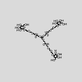 CC(COCCC(=O)NCCOCCOCCO[C@H]1OC(CO)[C@@H](O)C(O)[C@H]1O)(COCCC(=O)NCCOCCOCCO[C@H]1OC(CO)[C@@H](O)C(O)[C@H]1O)COCCC(=O)NCCOCCOCCO[C@H]1CC(CO)[C@@H](O)C(O)[C@H]1O